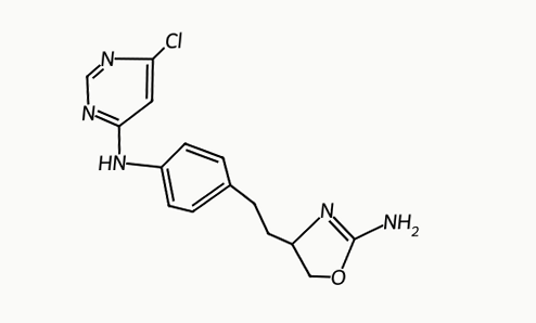 NC1=NC(CCc2ccc(Nc3cc(Cl)ncn3)cc2)CO1